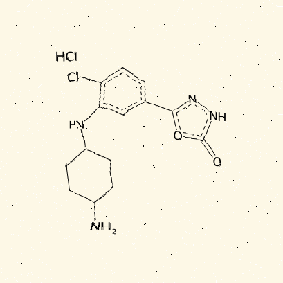 Cl.NC1CCC(Nc2cc(-c3n[nH]c(=O)o3)ccc2Cl)CC1